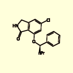 CCC[C@@H](Oc1cc(Cl)cc2c1C(=O)NC2)c1ccccc1